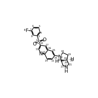 O=S(=O)(c1cccc(F)c1)c1cnc2ccc(N3CC[C@H]4CNC[C@H]43)cc2c1